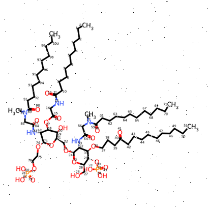 CCCCCCCCCCCC(=O)NCC(=O)O[C@H]1[C@H](O)[C@@H](CO[C@@H]2O[C@H](CO)[C@@H](OP(=O)(O)O)[C@H](OCCCC(=O)CCCCCCCCCC)[C@H]2NC(=O)CN(C)C(=O)CCCCCCCCCCC)O[C@H](OCCOP(=O)(O)O)[C@@H]1NC(=O)CN(C)C(=O)CCCCCCCCCCC